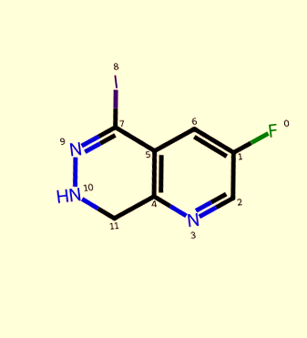 Fc1cnc2c(c1)C(I)=NNC2